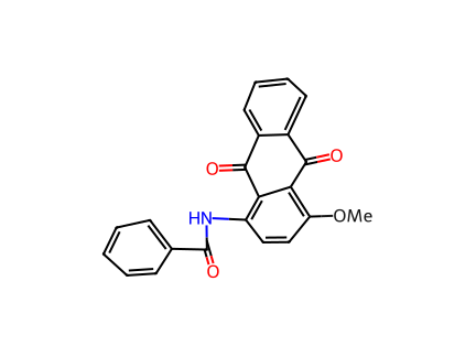 COc1ccc(NC(=O)c2ccccc2)c2c1C(=O)c1ccccc1C2=O